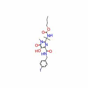 CCCCOC(=O)NC(C)(C)c1nc(C(=O)NCc2ccc(I)cc2)c(O)c(=O)n1C